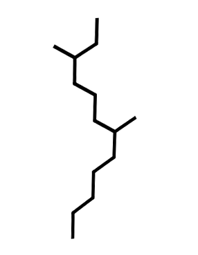 CCCCCC(C)CCCC(C)CC